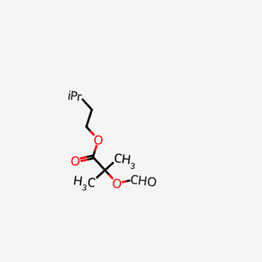 CC(C)CCOC(=O)C(C)(C)OC=O